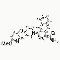 COc1ccc(OC2CCN(c3nnc(C(N)=O)c(Cc4ccncc4)c3C)CC2)cn1